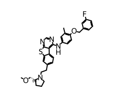 COC[C@H]1CCCN1CCc1ccc2c(c1)sc1ncnc(Nc3ccc(OCc4cccc(F)c4)c(C)c3)c12